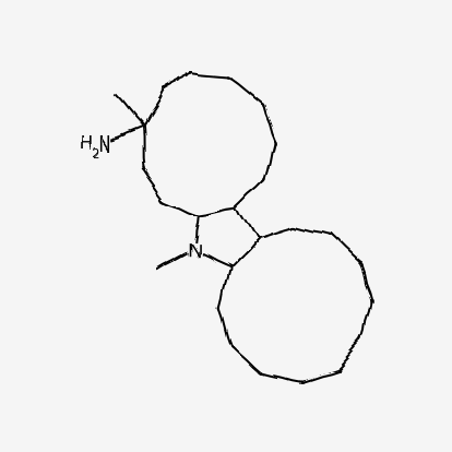 CN1C2CCCCCCCCCCC2C2CCCCCCC(C)(N)CCC21